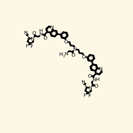 N#C[C@@H]1CC(F)(F)CN1C(=O)CNC(=O)c1ccnc2cc(-c3cccc(OCCCN(CCCOc4cccc(-c5ccc6c(C(=O)NCC(=O)N7CC(F)(F)C[C@H]7C#N)ccnc6c5)c4)C(=O)CN)c3)ccc12